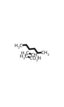 CC.CC(=O)O.CCCCCC